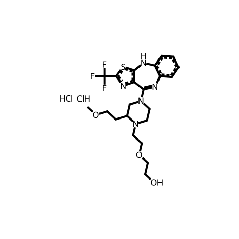 COCCC1CN(C2=Nc3ccccc3Nc3sc(C(F)(F)F)nc32)CCN1CCOCCO.Cl.Cl